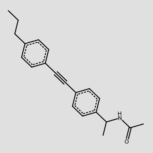 CCCc1ccc(C#Cc2ccc(C(C)NC(C)=O)cc2)cc1